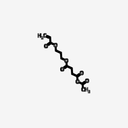 C=CC(=O)OCCCOC(=O)CCC(=O)OC(C)=O